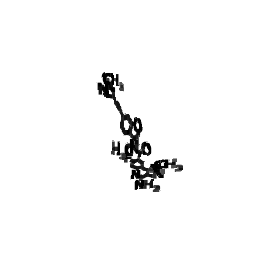 CN(C(=O)c1cc2c(cc1F)nc(N)c1cnn(C)c12)[C@@H]1COc2cc(C#Cc3cnn(C)c3)ccc21